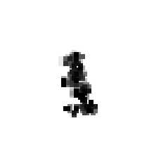 Cc1oc(=O)oc1CONC(=O)CCC(Cc1ccc(C(O)O)cc1)C(=O)O